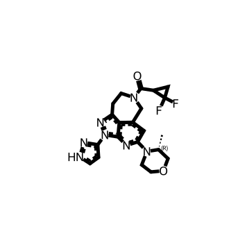 C[C@@H]1COCCN1c1cc2c3c(nn(-c4cc[nH]n4)c3n1)CCN(C(=O)C1CC1(F)F)C2